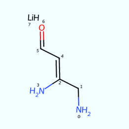 NCC(N)=CC=O.[LiH]